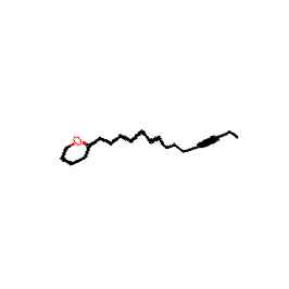 CCC#CCCCCCCCCCCC1CCCCO1